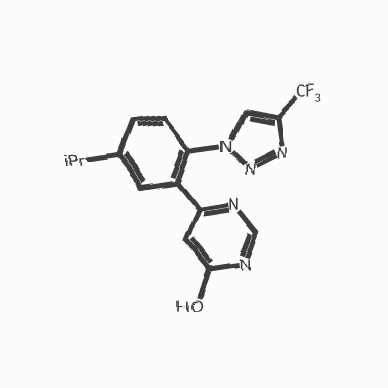 CC(C)c1ccc(-n2cc(C(F)(F)F)nn2)c(-c2cc(O)ncn2)c1